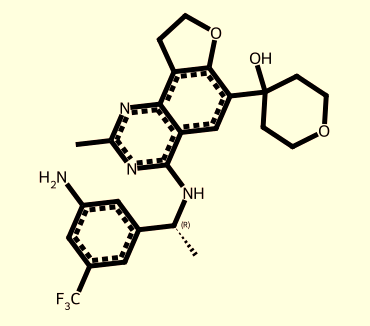 Cc1nc(N[C@H](C)c2cc(N)cc(C(F)(F)F)c2)c2cc(C3(O)CCOCC3)c3c(c2n1)CCO3